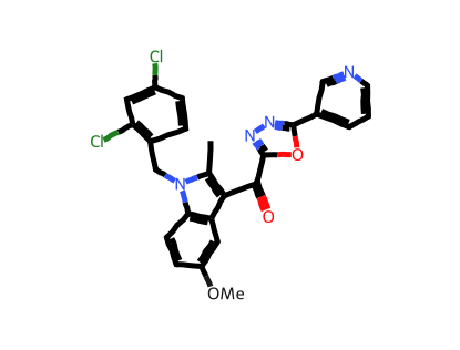 COc1ccc2c(c1)c(C(=O)c1nnc(-c3cccnc3)o1)c(C)n2Cc1ccc(Cl)cc1Cl